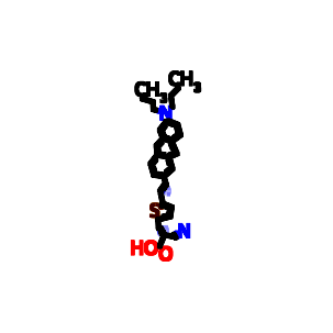 CCCCN(CCCC)c1ccc2cc3cc(/C=C/c4ccc(/C=C(\C#N)C(=O)O)s4)ccc3cc2c1